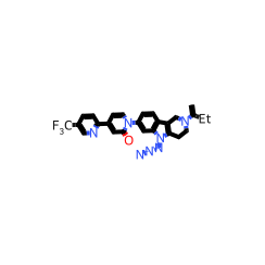 C=C(CC)N1CCc2c(c3ccc(-n4ccc(-c5ccc(C(F)(F)F)cn5)cc4=O)cc3n2N=[N+]=[N-])C1